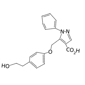 O=C(O)c1cnn(-c2ccccc2)c1COc1ccc(CCO)cc1